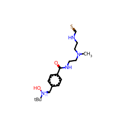 CN(CCNC=S)CCNC(=O)c1ccc(/C=[N+](\O)C(C)(C)C)cc1